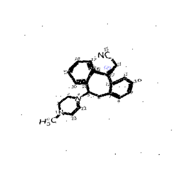 CN1CCN(C2Cc3ccccc3/C(=C/C#N)c3ccccc32)CC1